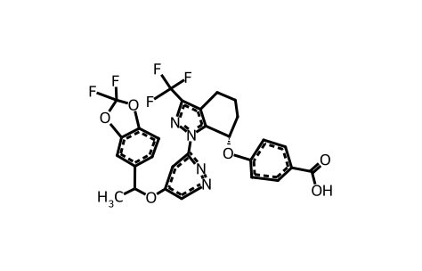 CC(Oc1cnnc(-n2nc(C(F)(F)F)c3c2[C@@H](Oc2ccc(C(=O)O)cc2)CCC3)c1)c1ccc2c(c1)OC(F)(F)O2